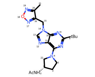 CC(=O)N[C@H]1CCN(c2nc(C(C)(C)C)nc3c2ncn3Cc2nonc2C)C1